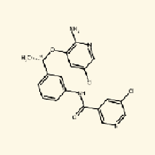 C[C@H](Oc1cc(Cl)cnc1N)c1cccc(NC(=O)c2cncc(Cl)c2)c1